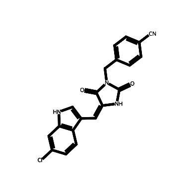 N#Cc1ccc(CN2C(=O)NC(=Cc3c[nH]c4cc(Cl)ccc34)C2=O)cc1